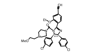 C#Cc1ccc(C2=N[C@@H](c3ccc(Cl)cc3)[C@@H](c3ccc(Cl)cc3)N2C(=O)N2CCN(CCOC)CC2)c(OCC)c1